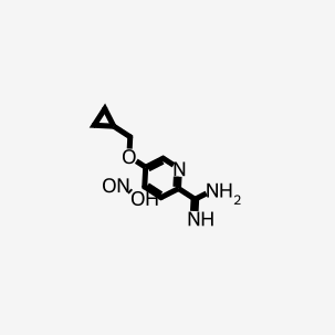 N=C(N)c1ccc(OCC2CC2)cn1.O=NO